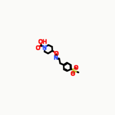 CS(=O)(=O)c1ccc(CC=NOC2CCN(C(=O)O)CC2)cc1